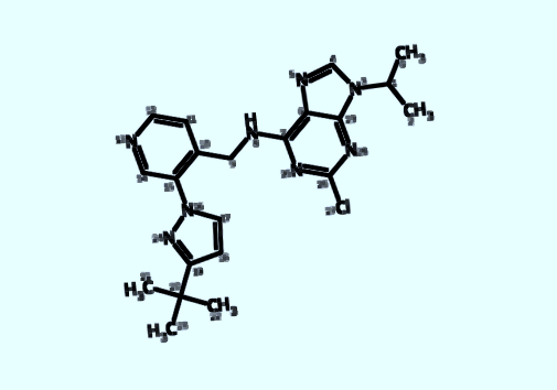 CC(C)n1cnc2c(NCc3ccncc3-n3ccc(C(C)(C)C)n3)nc(Cl)nc21